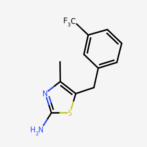 Cc1nc(N)sc1Cc1cccc(C(F)(F)F)c1